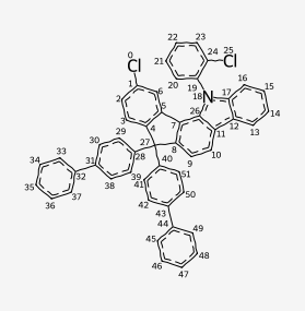 Clc1ccc2c(c1)-c1c(ccc3c4ccccc4n(-c4ccccc4Cl)c13)C2(c1ccc(-c2ccccc2)cc1)c1ccc(-c2ccccc2)cc1